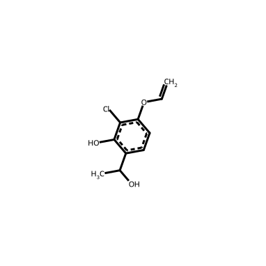 C=COc1ccc(C(C)O)c(O)c1Cl